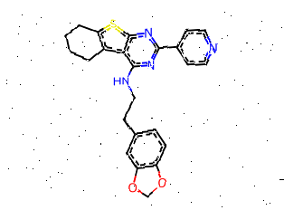 c1cc(-c2nc(NCCc3ccc4c(c3)OCO4)c3c4c(sc3n2)CCCC4)ccn1